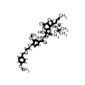 C=CCCC1(N[S+]([O-])C(C)(C)C)COc2c1cc(C(O)(CNC(=O)c1ccc(OCCOCc3ccc(OC)cc3)c(OC)c1)C(F)(F)F)nc2Cl